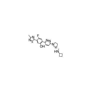 Cc1nsc(-c2cc(O)c(-c3ccc(N4CC[C@H](CNC5CCC5)C4)nn3)cc2F)n1